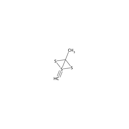 C#S12SC1(C)S2